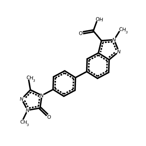 Cc1nn(C)c(=O)n1-c1ccc(-c2ccc3nn(C)c(C(=O)O)c3c2)cc1